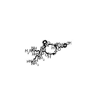 CC1(C)CNC(=O)CC(C(=O)NC(CCCNC(=N)N)C(=O)NC(CCCNC(=N)N)C(N)=O)NC(=O)C(Cc2ccccc2)NC(=O)CNC(=O)C(NC(=O)C(N)Cc2ccc(O)cc2)CSS1